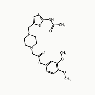 COc1ccc(OC(=O)CN2CCN(Cc3cnc(NC(C)=O)s3)CC2)cc1OC